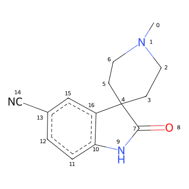 CN1CCC2(CC1)C(=O)Nc1ccc(C#N)cc12